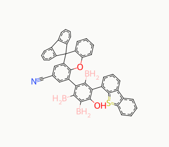 Bc1c(B)c(-c2cc(C#N)cc3c2Oc2ccccc2C32c3ccccc3-c3ccccc32)c(B)c(-c2cccc3c2sc2ccccc23)c1O